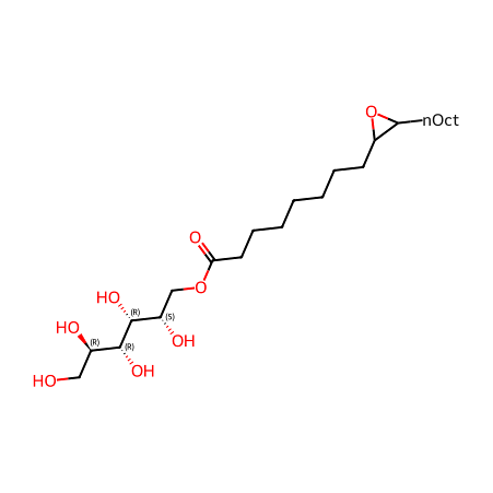 CCCCCCCCC1OC1CCCCCCCC(=O)OC[C@H](O)[C@@H](O)[C@H](O)[C@H](O)CO